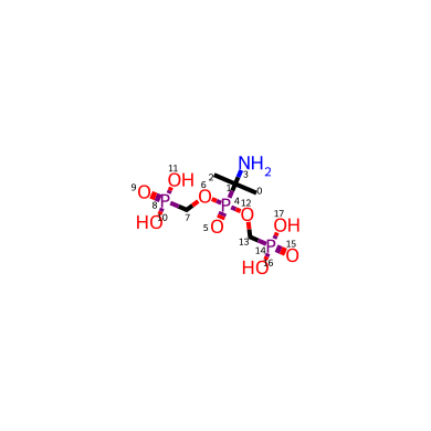 CC(C)(N)P(=O)(OCP(=O)(O)O)OCP(=O)(O)O